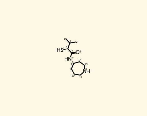 CC(C)[C@H](S)C(=O)N[C@H]1CCCNCC1